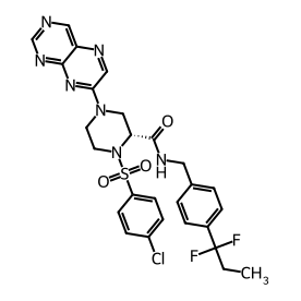 CCC(F)(F)c1ccc(CNC(=O)[C@H]2CN(c3cnc4cncnc4n3)CCN2S(=O)(=O)c2ccc(Cl)cc2)cc1